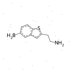 Bc1ccc2sc(CCN)cc2c1